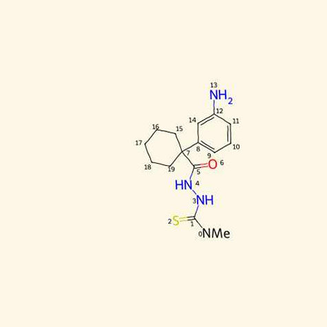 CNC(=S)NNC(=O)C1(c2cccc(N)c2)CCCCC1